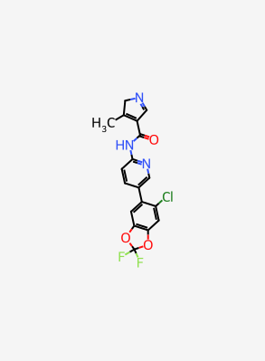 CC1=C(C(=O)Nc2ccc(-c3cc4c(cc3Cl)OC(F)(F)O4)cn2)C=NC1